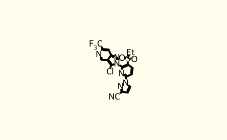 CCS(=O)(=O)c1ccc(-n2ccc(C#N)n2)nc1-n1nc2cc(C(F)(F)F)ncc2c1Cl